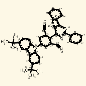 CC(C)(C)c1ccc2c(c1)c1cc(C(C)(C)C)ccc1n2-c1cc(C#N)c(-c2nc(-c3ccccc3)nc3c2sc2ccccc23)c(C#N)c1